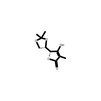 CC1=C(O)[C@@H]([C@@H]2COC(C)(C)O2)OC1=O